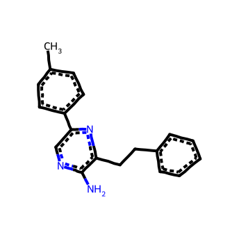 Cc1ccc(-c2cnc(N)c(CCc3ccccc3)n2)cc1